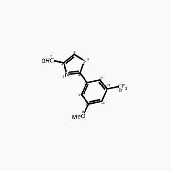 COc1cc(-c2nc(C=O)cs2)cc(C(F)(F)F)c1